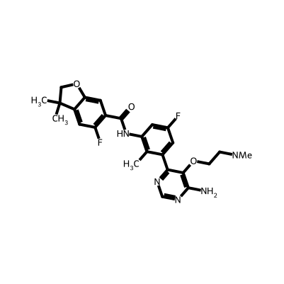 CNCCOc1c(N)ncnc1-c1cc(F)cc(NC(=O)c2cc3c(cc2F)C(C)(C)CO3)c1C